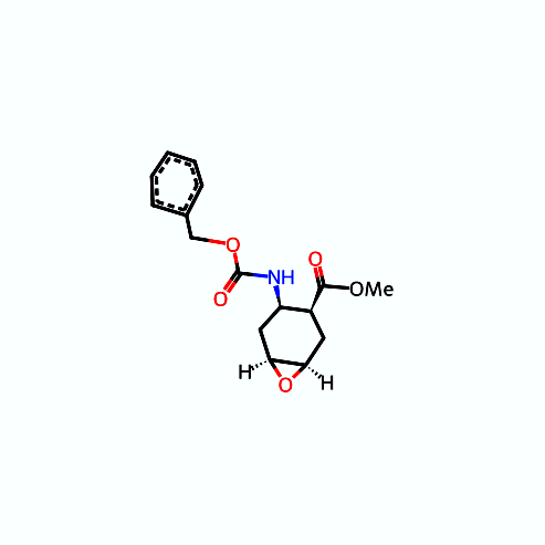 COC(=O)[C@H]1C[C@H]2O[C@H]2C[C@H]1NC(=O)OCc1ccccc1